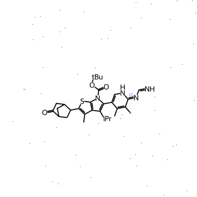 Cc1c(-c2c(C(C)C)c3c(C)c(C4CC5CC4CC5=O)sc3n2C(=O)OC(C)(C)C)c[nH]/c(=N\C=N)c1C